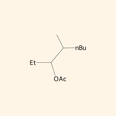 CCCCC(C)C(CC)OC(C)=O